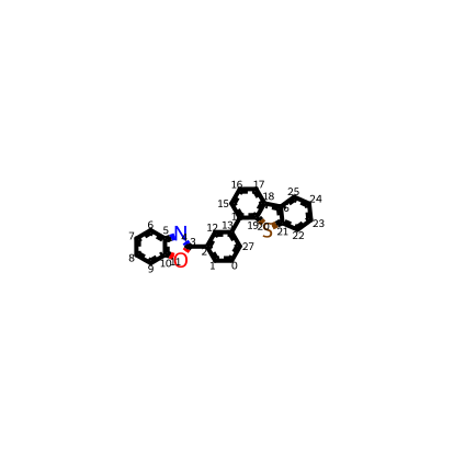 c1cc(-c2nc3ccccc3o2)cc(-c2cccc3c2sc2ccccc23)c1